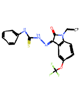 CCN1C(=O)/C(=N\NC(=S)Nc2ccccc2)c2cc(OC(F)(F)F)ccc21